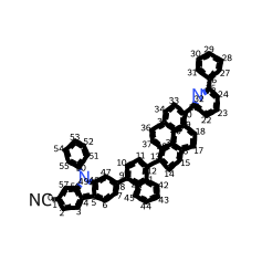 N#Cc1ccc2c3ccc(-c4ccc(-c5ccc6ccc7c(-c8cccc(-c9ccccc9)n8)ccc8ccc5c6c87)c5ccccc45)cc3n(-c3ccccc3)c2c1